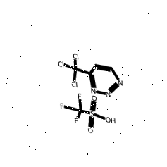 ClC(Cl)(Cl)c1ccnnn1.O=S(=O)(O)C(F)(F)F